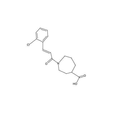 O=C(O)C1CCCN(C(=O)/C=C/c2ccccc2Cl)CC1